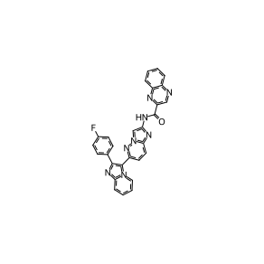 O=C(Nc1cn2nc(-c3c(-c4ccc(F)cc4)nc4ccccn34)ccc2n1)c1cnc2ccccc2n1